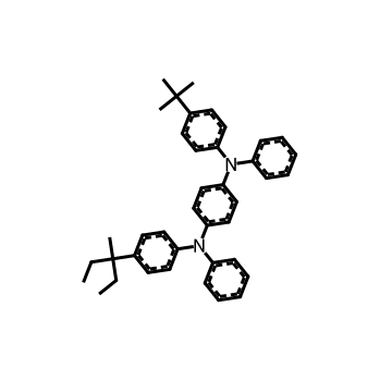 CCC(C)(CC)c1ccc(N(c2ccccc2)c2ccc(N(c3ccccc3)c3ccc(C(C)(C)C)cc3)cc2)cc1